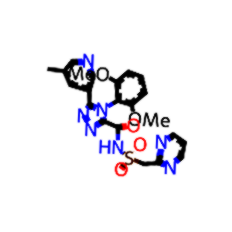 COc1cccc(OC)c1-n1c(C(=O)NS(=O)(=O)Cc2ncccn2)nnc1-c1cncc(C)c1